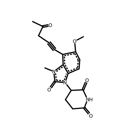 COc1ccc2c(c1C#CCC(C)=O)n(C)c(=O)n2C1CCC(=O)NC1=O